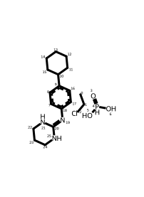 CCCl.O=[PH](O)O.c1cc(C2CCCCC2)ccc1N=C1NCCCN1